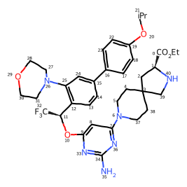 CCOC(=O)[C@@H]1CC2(CCN(c3cc(O[C@H](c4ccc(-c5ccc(OC(C)C)cc5)cc4N4CCOCC4)C(F)(F)F)nc(N)n3)CC2)CN1